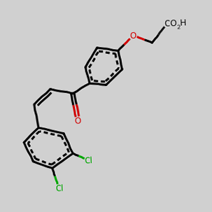 O=C(O)COc1ccc(C(=O)/C=C\c2ccc(Cl)c(Cl)c2)cc1